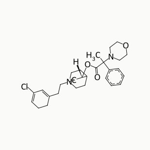 CC(C(=O)O[C@H]1C[N+]2(CCC3=CC(Cl)=CCC3)CCC1CC2)(c1ccccc1)N1CCOCC1